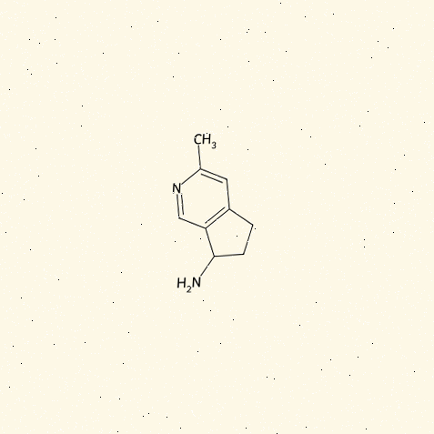 Cc1cc2c(cn1)C(N)CC2